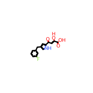 O=C(O)/C(O)=C/C(=O)c1cc(Cc2cccc(F)c2)c[nH]1